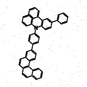 c1ccc(-c2ccc(N(c3ccccc3)c3ccc(-c4ccc5c(ccc6ccc7ccccc7c65)c4)cc3)c(-c3ccccc3)c2)cc1